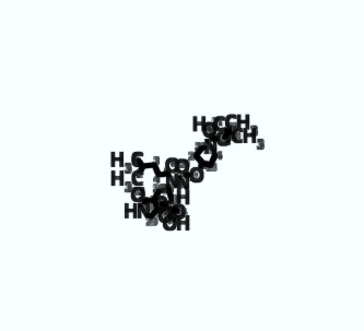 CC(C)CCC(=O)N(NC(=O)OC1CCN(C(=O)OC(C)(C)C)CC1)[C@@H](CC1CCNC1=O)CS(=O)(=O)OO